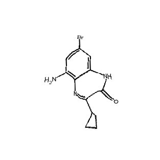 Nc1cc(Br)cc2[nH]c(=O)c(C3CC3)nc12